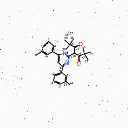 Cc1cccc(-c2cc(-c3cccc(C)c3)nc(C(C(=O)C(C)(C)C)C(=O)C(C)(C)C)n2)c1.[Ir]